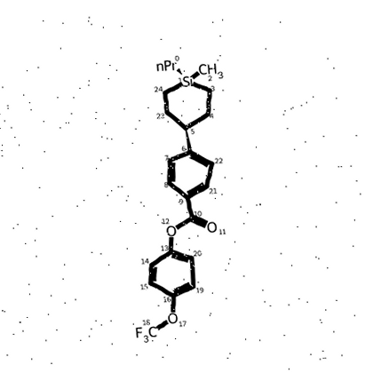 CCC[Si@]1(C)CC[C@@H](c2ccc(C(=O)Oc3ccc(OC(F)(F)F)cc3)cc2)CC1